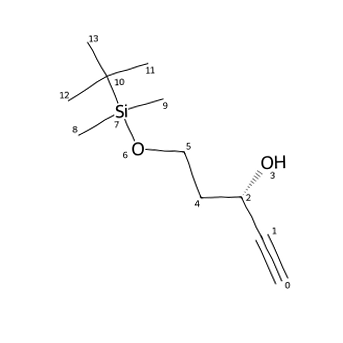 C#C[C@@H](O)CCO[Si](C)(C)C(C)(C)C